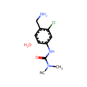 CN(C#N)C(=O)Nc1ccc(CN)c(Cl)c1.O